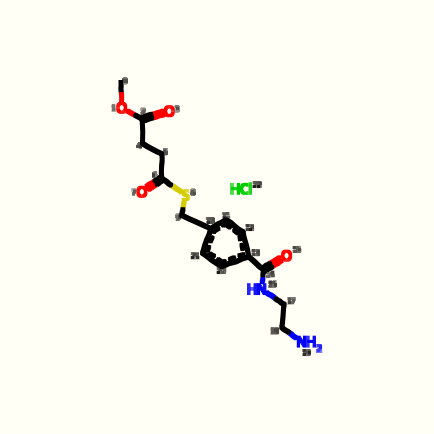 COC(=O)CCC(=O)SCc1ccc(C(=O)NCCN)cc1.Cl